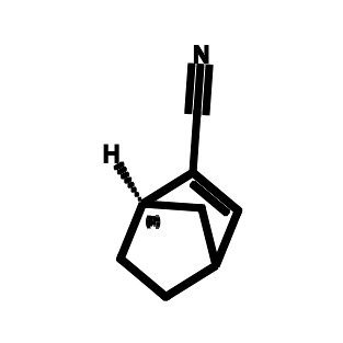 N#CC1=CC2CC[C@@H]1C2